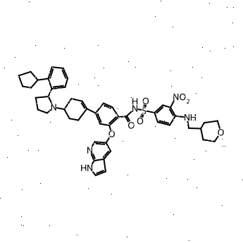 O=C(NS(=O)(=O)c1ccc(NCC2CCOCC2)c([N+](=O)[O-])c1)c1ccc(C2=CCC(N3CCCC3c3ccccc3C3CCCC3)CC2)cc1Oc1cnc2[nH]ccc2c1